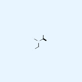 CCCC(=O)N(I)CF